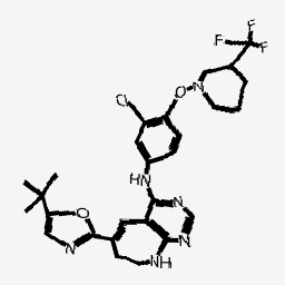 CC(C)(C)c1cnc(C2=Cc3c(ncnc3Nc3ccc(ON4CCCC(C(F)(F)F)C4)c(Cl)c3)NCC2)o1